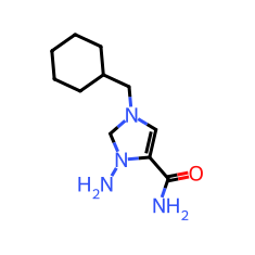 NC(=O)C1=CN(CC2CCCCC2)CN1N